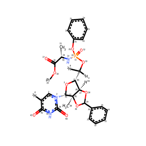 [2H]c1cn([C@@H]2O[C@H](C([2H])([2H])O[P@@](=O)(N[C@@H](C)C(=O)OC(C)C)Oc3ccccc3)[C@H]3OC(c4ccccc4)O[C@]32C)c(=O)[nH]c1=O